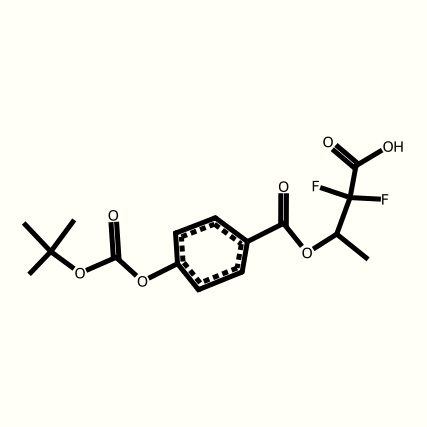 CC(OC(=O)c1ccc(OC(=O)OC(C)(C)C)cc1)C(F)(F)C(=O)O